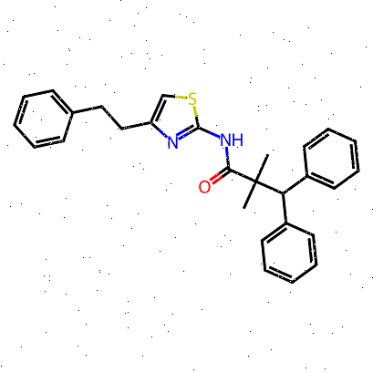 CC(C)(C(=O)Nc1nc(CCc2ccccc2)cs1)C(c1ccccc1)c1ccccc1